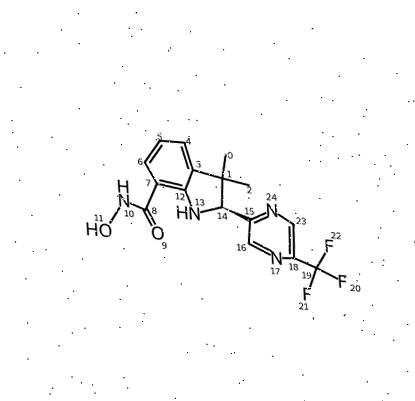 CC1(C)c2cccc(C(=O)NO)c2N[C@@H]1c1cnc(C(F)(F)F)cn1